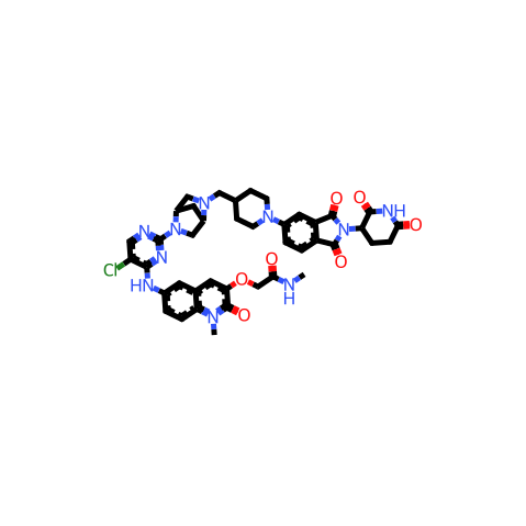 CNC(=O)COc1cc2cc(Nc3nc(N4CC5CC4CN5CC4CCN(c5ccc6c(c5)C(=O)N(C5CCC(=O)NC5=O)C6=O)CC4)ncc3Cl)ccc2n(C)c1=O